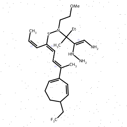 C\C=C/C(=C\C=C(/C)C1=CCCC(CC(F)(F)F)C=C1)SN(CCOC)C(C)(CC)/C(=C/N)NN